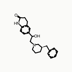 O=C1CCc2cc(C(O)CN3CCC[C@H](Cc4ccccc4)C3)ccc2N1